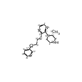 C[C@@H]1CNCCN1c1nccnc1OCCOc1cccnc1